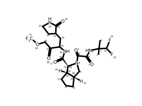 CC(C)(NC(=O)C(=O)N1C[C@@H]2CCC[C@@H]2[C@H]1C(=O)NC(CC1CCNC1=O)C(=O)COC(F)(F)F)C(F)F